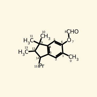 Cc1cc2c(cc1OC=O)C(C)(C)C(C)C2C(C)C